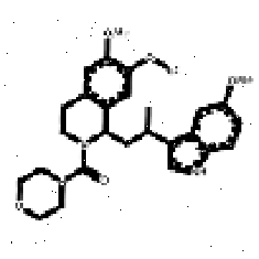 CCOc1cc2c(cc1OC)CCN(C(=O)N1CCOCC1)C2CC(C)c1c[nH]c2ccc(OC)cc12